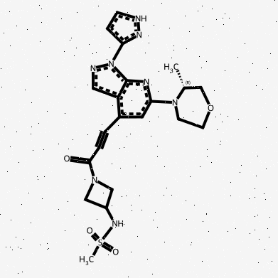 C[C@@H]1COCCN1c1cc(C#CC(=O)N2CC(NS(C)(=O)=O)C2)c2cnn(-c3cc[nH]n3)c2n1